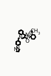 CO[C@@H]1CCCCC1n1nc2c3ccccc3n(Cc3ccc(-n4cccn4)cc3)cc-2c1=O